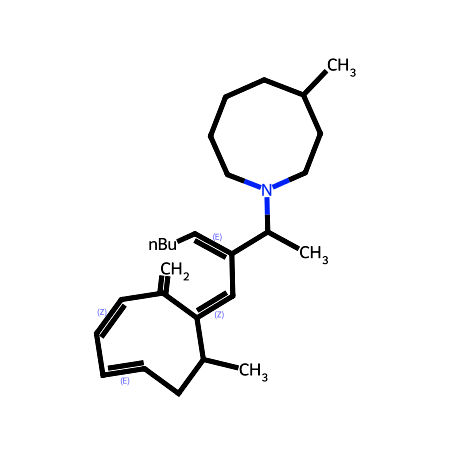 C=C1/C=C\C=C\CC(C)/C1=C/C(=C\CCCC)C(C)N1CCCCC(C)CC1